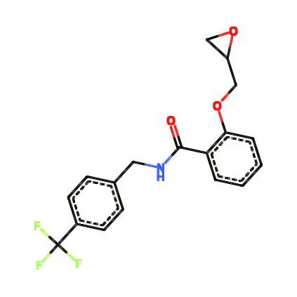 O=C(NCc1ccc(C(F)(F)F)cc1)c1ccccc1OCC1CO1